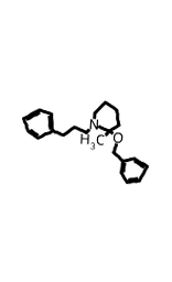 CC1(OCc2ccccc2)CCCCN1CCCc1ccccc1